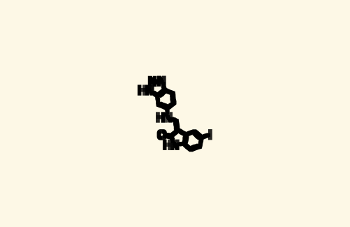 O=C1Nc2ccc(I)cc2C1=CNc1ccc2nn[nH]c2c1